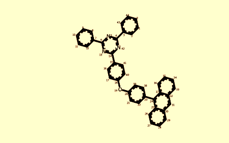 c1ccc(-c2nc(-c3ccccc3)nc(-c3ccc(Oc4ccc(-c5c6ccccc6cc6ccccc56)cc4)cc3)n2)cc1